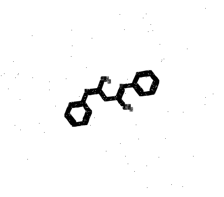 CC(CC(C)=Nc1ccccc1)=Nc1ccccc1